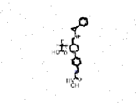 O=C(/C=C/c1ccc(N2CCC(CNC3CC3c3ccccc3)CC2)cc1)NO.O=C(O)C(F)(F)F